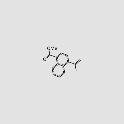 C=C(C)c1ccc(C(=O)OC)c2ccccc12